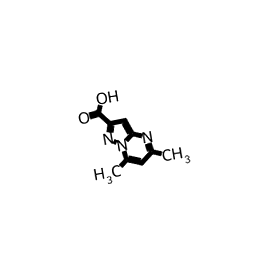 Cc1cc(C)n2nc(C(=O)O)cc2n1